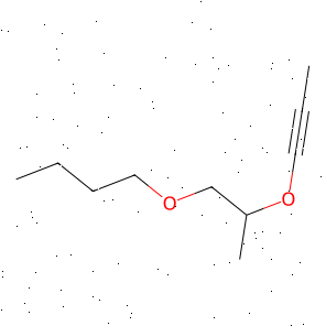 CC#COC(C)COCCCC